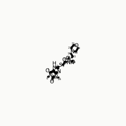 Cn1c(=O)c2[nH]c(SCC(=O)NS(=O)(=O)CCN3CCOCC3)nc2n(C)c1=O